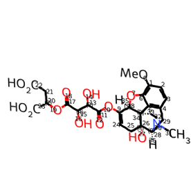 COc1ccc2c3c1O[C@@H]1C(OC(=O)[C@H](O)[C@@H](O)C(=O)O[C@H](CC(=O)O)C(=O)O)=CC[C@]4(O)[C@H](C2)N(C)CC[C@@]314